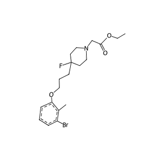 CCOC(=O)CN1CCC(F)(CCCOc2cccc(Br)c2C)CC1